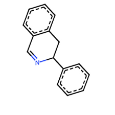 C1=NC(c2ccccc2)Cc2ccccc21